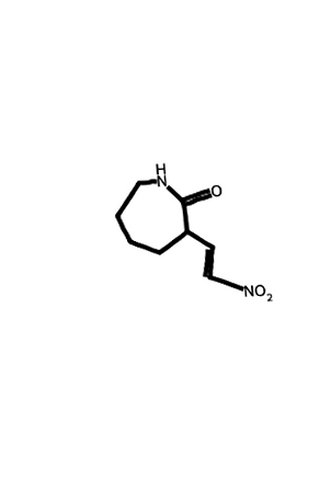 O=C1NCCCCC1C=C[N+](=O)[O-]